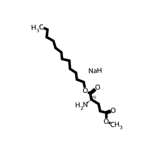 CCCCCCCCCCCCOC(=O)[C@@H](N)CCC(=O)OC.[NaH]